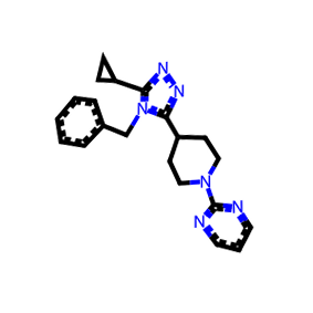 c1ccc(Cn2c(C3CC3)nnc2C2CCN(c3ncccn3)CC2)cc1